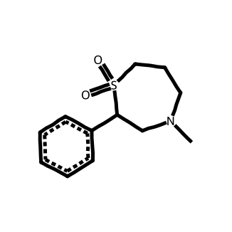 CN1CCCS(=O)(=O)C(c2ccccc2)C1